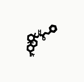 CC(C)C1CCC2C(CCC3[C@@](C)(CNC(=O)CCc4ccccc4)CCC[C@@]23C)C1